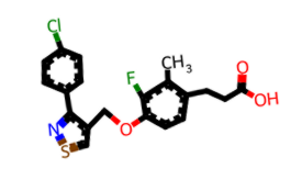 Cc1c(CCC(=O)O)ccc(OCc2csnc2-c2ccc(Cl)cc2)c1F